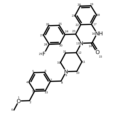 COCc1cccc(CN2CCC(N3C(=O)Nc4ccccc4C3c3cccc(F)c3)CC2)c1